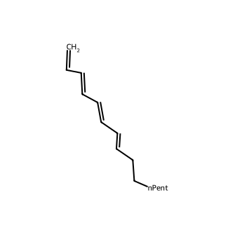 [CH2]CCCCCCC=CC=CC=CC=C